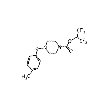 Cc1ccc(SN2CCN(C(=O)OC(C(F)(F)F)C(F)(F)F)CC2)cc1